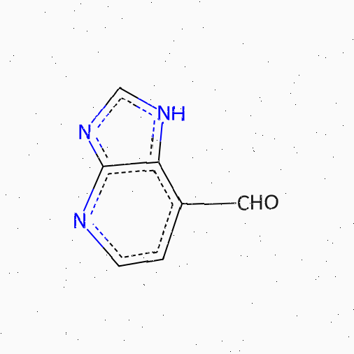 O=Cc1ccnc2nc[nH]c12